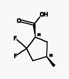 C[C@@H]1C[C@H](C(=O)O)C(F)(F)C1